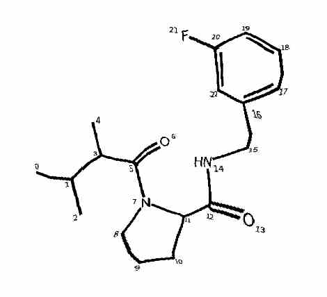 CC(C)C(C)C(=O)N1CCCC1C(=O)NCc1cccc(F)c1